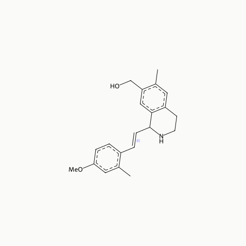 COc1ccc(/C=C/C2NCCc3cc(C)c(CO)cc32)c(C)c1